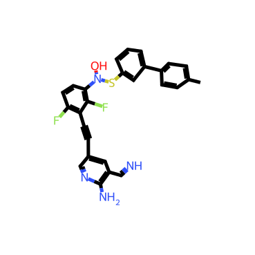 Cc1ccc(-c2cccc(SN(O)c3ccc(F)c(C#Cc4cnc(N)c(C=N)c4)c3F)c2)cc1